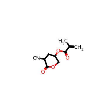 [C-]#[N+]C1CC(OC(=O)C(=C)C)COC1=O